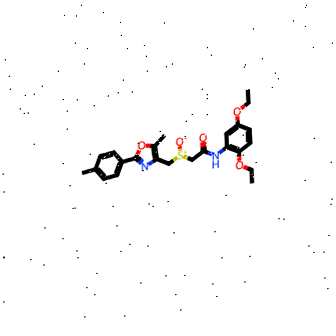 CCOc1ccc(OCC)c(NC(=O)C[S+]([O-])Cc2nc(-c3ccc(C)cc3)oc2C)c1